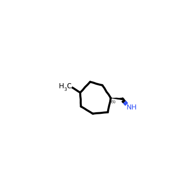 CC1CCC[C@H](C=N)CC1